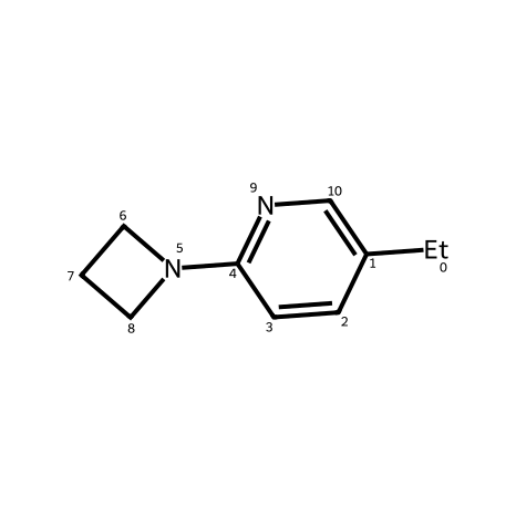 CCc1ccc(N2CCC2)nc1